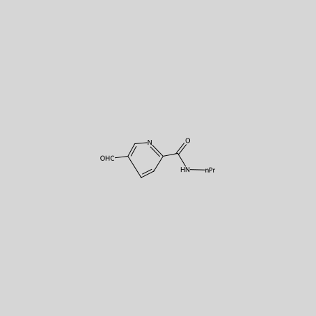 CCCNC(=O)c1ccc(C=O)cn1